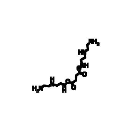 NCCNCCNOC(=O)CCC(=O)ONCCNCCN